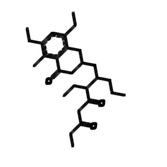 CCCC(CC1CC(=O)c2c(C)c(CC)cc(CC)c2C1)C(CC)C(=O)CC(=O)CC